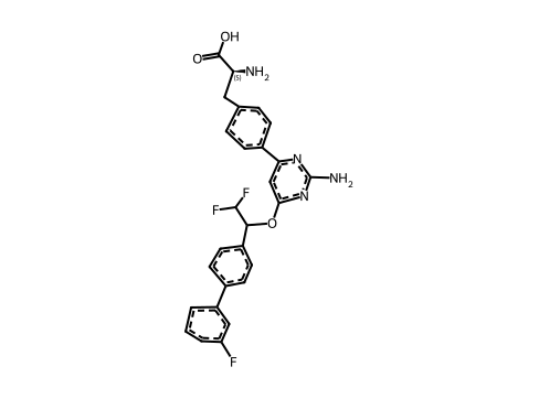 Nc1nc(OC(c2ccc(-c3cccc(F)c3)cc2)C(F)F)cc(-c2ccc(C[C@H](N)C(=O)O)cc2)n1